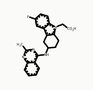 Cc1nc(NC2CCc3c(c4cc(F)ccc4n3CC(=O)O)C2)c2ccccc2n1